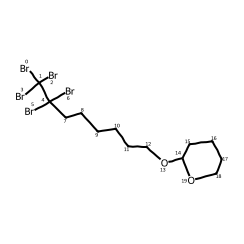 BrC(Br)(Br)C(Br)(Br)CCCCCCOC1CCCCO1